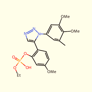 CCOP(=O)(O)Oc1cc(OC)ccc1-c1cnnn1-c1cc(C)c(OC)c(OC)c1